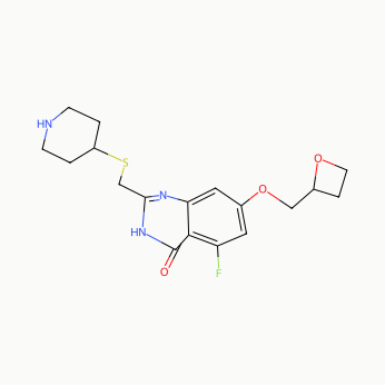 O=c1[nH]c(CSC2CCNCC2)nc2cc(OCC3CCO3)cc(F)c12